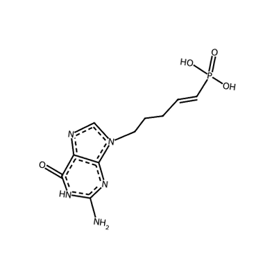 Nc1nc2c(ncn2CCC/C=C/P(=O)(O)O)c(=O)[nH]1